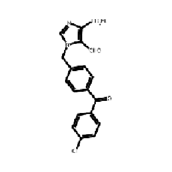 CCOC(=O)c1ncn(Cc2ccc(C(=O)c3ccc(Cl)cc3)cc2)c1C=O